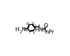 CCCC(=O)NCc1ccc(N)cc1